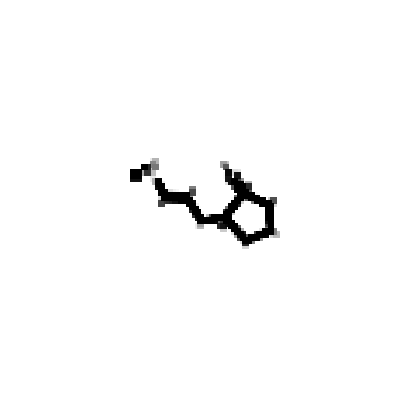 CCCC=CCC1CCCC1=O